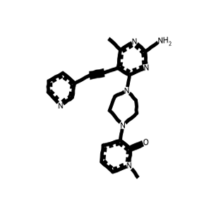 Cc1nc(N)nc(N2CCN(c3cccn(C)c3=O)CC2)c1C#Cc1cccnc1